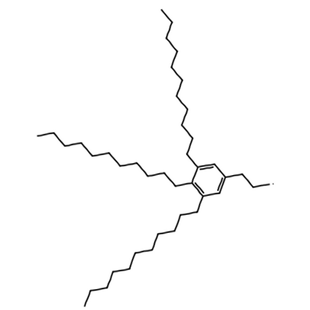 [CH2]CCc1cc(CCCCCCCCCCC)c(CCCCCCCCCCC)c(CCCCCCCCCCC)c1